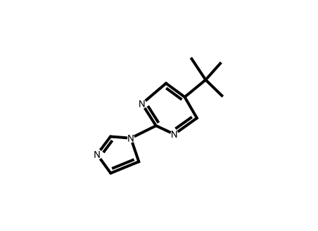 CC(C)(C)c1cnc(-n2ccnc2)nc1